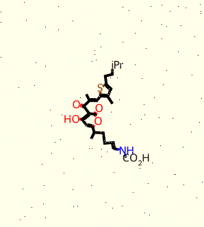 CC(=Cc1sc(CCC(C)C)cc1C)C(=O)c1c(O)cc(C(C)CCC=CNC(=O)O)oc1=O